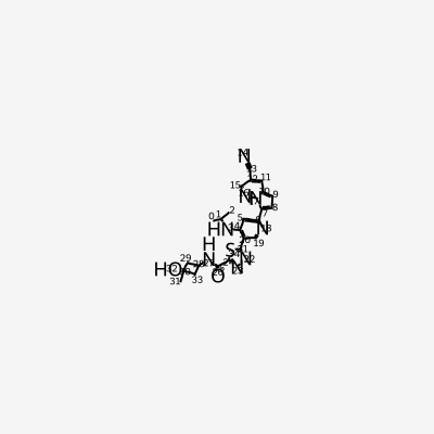 CC(C)Nc1cc(-c2ccc3cc(C#N)cnn23)ncc1-c1nnc(C(=O)NC2CC(C)(O)C2)s1